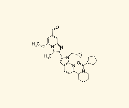 COc1cc(C=O)cc2nc(-c3cc4ccc(C5CCCCN5C(=O)N5CCCC5)nc4n3CC3CC3)c(C)n12